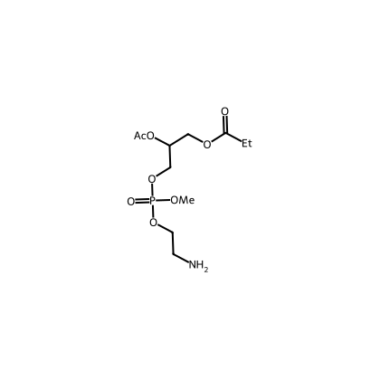 CCC(=O)OCC(COP(=O)(OC)OCCN)OC(C)=O